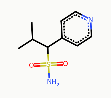 CC(C)C(c1ccncc1)S(N)(=O)=O